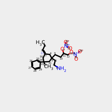 CC/C=C1\CC(CCN)(CCC(CO[N+](=O)[O-])O[N+](=O)[O-])CC(C)(c2ccccc2)C1